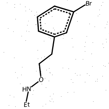 CCNOCCc1cccc(Br)c1